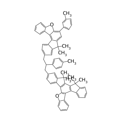 Cc1ccc(C(Cc2ccc3c(c2)C(C)(C)c2cc(-c4cccc(C)c4)c4oc5ccccc5c4c2-3)Cc2ccc3c(c2)C(C)(C)c2c4c(c5c(oc6ccccc65)c2-3)-c2ccccc2C4(C)C)cc1